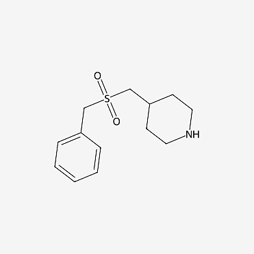 O=S(=O)(Cc1ccccc1)CC1CCNCC1